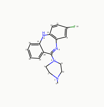 CN1CCN(C2=Nc3cc(F)ccc3Nc3ccccc32)CC1